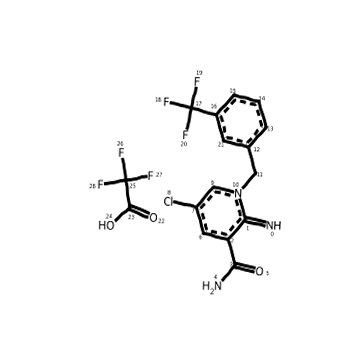 N=c1c(C(N)=O)cc(Cl)cn1Cc1cccc(C(F)(F)F)c1.O=C(O)C(F)(F)F